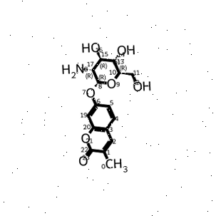 Cc1cc2ccc(O[C@H]3O[C@H](CO)[C@@H](O)[C@H](O)[C@H]3N)cc2oc1=O